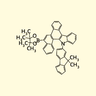 CC1(C)c2ccccc2-c2ccc(-n3c4ccccc4c4c5ccccc5c5cc(B6OC(C)(C)C(C)(C)O6)c6ccccc6c5c43)cc21